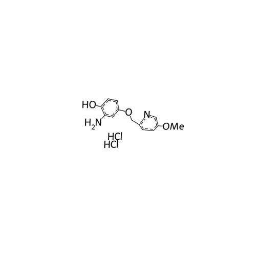 COc1ccc(COc2ccc(O)c(N)c2)nc1.Cl.Cl